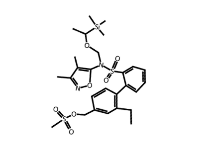 CCc1cc(COS(C)(=O)=O)ccc1-c1ccccc1S(=O)(=O)N(COC(C)[Si](C)(C)C)c1onc(C)c1C